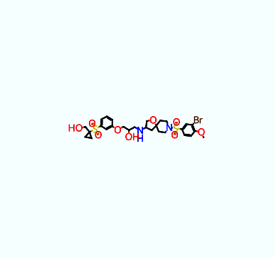 COc1ccc(S(=O)(=O)N2CCC3(CC2)CC(NCC(O)COc2cccc(S(=O)(=O)C4(CO)CC4)c2)CO3)cc1Br